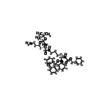 CC(C)(C)OC(=O)N[C@@H](CCCCN)C(=O)NCCCC[C@H](NC(=O)OCc1ccccc1)C(=O)OC(c1ccccc1)(c1ccccc1)c1ccccc1Cl